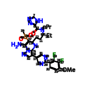 CCCN(C(=O)c1nnc[nH]1)[C@H](CC)CCc1nc2c(-c3cnc(-c4ccc(OC)c(F)c4F)nc3)cnn2c(N)c1S(C)(=O)=O